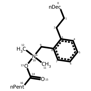 CCCCCCCCCCCCc1ccccc1C[N+](C)(C)OC(=O)CCCCC